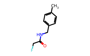 Cc1ccc(CNC(=O)CF)cc1